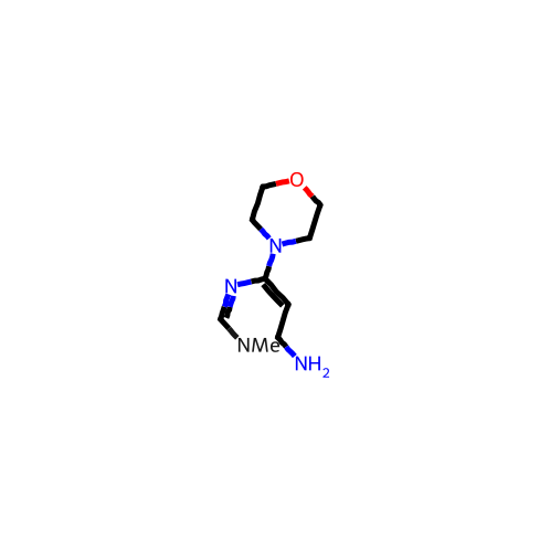 CN/C=N\C(=C/CN)N1CCOCC1